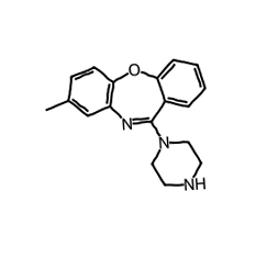 Cc1ccc2c(c1)N=C(N1CCNCC1)c1ccccc1O2